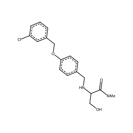 CNC(=O)C(CO)NCc1ccc(OCc2cccc(Cl)c2)cc1